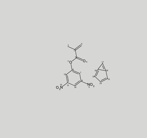 C=C(C)C(=O)Oc1cc([N+](=O)[O-])cc([N+](=O)[O-])c1.c1cc2cc-2c1